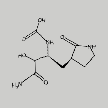 NC(=O)C(O)[C@H](C[C@@H]1CCNC1=O)NC(=O)O